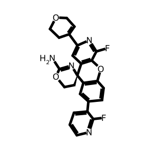 NC1=N[C@@]2(CCO1)c1cc(-c3cccnc3F)ccc1Oc1c2cc(C2=CCOCC2)nc1F